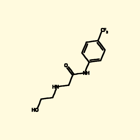 O=C(CNCCO)Nc1ccc(C(F)(F)F)cc1